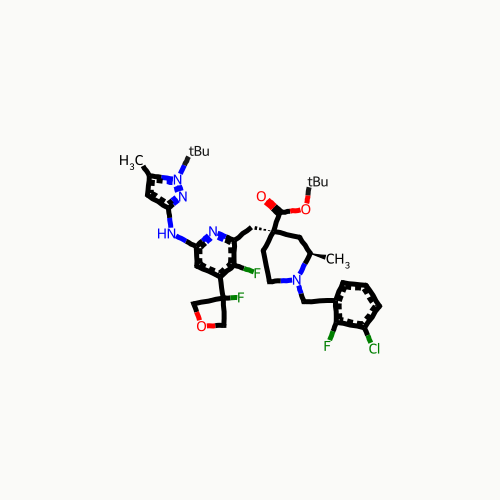 Cc1cc(Nc2cc(C3(F)COC3)c(F)c(C[C@@]3(C(=O)OC(C)(C)C)CCN(Cc4cccc(Cl)c4F)[C@H](C)C3)n2)nn1C(C)(C)C